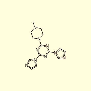 CN1CCN(c2nc(-n3ccnc3)nc(-n3ccnc3)n2)CC1